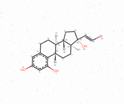 C[C@]12CC[C@@H]3c4c(O)cc(O)cc4CC[C@H]3[C@@H]1CC[C@@]2(O)/C=C/Br